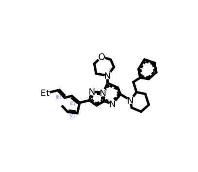 C\C=C/C(=C\C=C\CC)c1cc2nc(N3CCCCC3Cc3ccccc3)cc(N3CCOCC3)n2n1